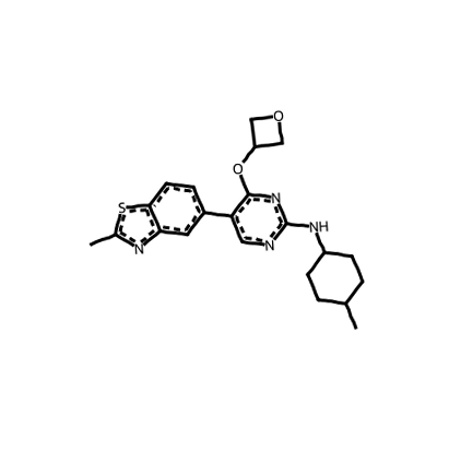 Cc1nc2cc(-c3cnc(NC4CCC(C)CC4)nc3OC3COC3)ccc2s1